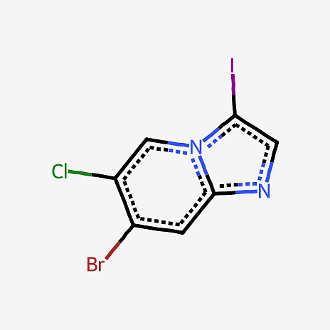 Clc1cn2c(I)cnc2cc1Br